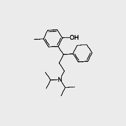 Cc1ccc(O)c(C(CCN(C(C)C)C(C)C)C2=CC=CCC2)c1